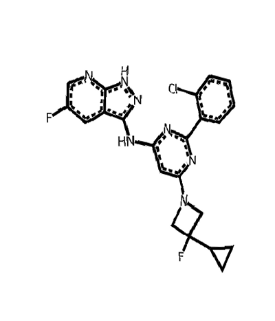 Fc1cnc2[nH]nc(Nc3cc(N4CC(F)(C5CC5)C4)nc(-c4ccccc4Cl)n3)c2c1